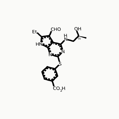 CCc1[nH]c2nc(Sc3cccc(C(=O)O)c3)nc(NC[C@H](C)O)c2c1C=O